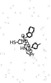 Cc1ccc(S(=O)(=O)N(CC(C)C)NC(=O)[C@@H]2C[C@@H](S)CN2S(=O)(=O)c2ccc3ccccc3c2)cc1